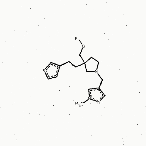 CCOC[C@@]1(CCc2ccsc2)CCN(Cc2cnn(C)c2)C1